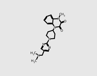 CN(C)Cc1cnc(N2CCC(n3c(=O)c(=O)n(C)c4ccccc43)CC2)nc1